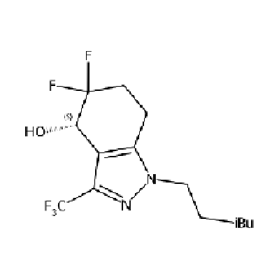 CCC(C)CCn1nc(C(F)(F)F)c2c1CCC(F)(F)[C@H]2O